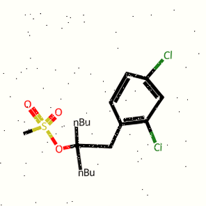 CCCCC(CCCC)(Cc1ccc(Cl)cc1Cl)OS(C)(=O)=O